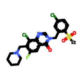 CCS(=O)(=O)c1ccc(Cl)cc1Cn1cnc2c(Cl)c(CN3CCCCC3)c(F)cc2c1=O